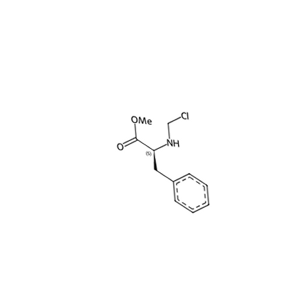 COC(=O)[C@H](Cc1ccccc1)NCCl